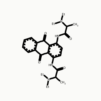 CCN(CC)C(C)C(=O)Nc1ccc(NC(=O)C(C)N(CC)CC)c2c1C(=O)c1ccccc1C2=O